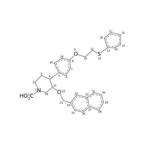 O=C(O)N1CCC(c2ccc(OCCSc3ccccc3)cc2)C(OCc2ccc3ccccc3c2)C1